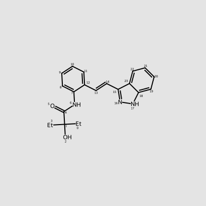 CCC(O)(CC)C(=O)Nc1ccccc1C=Cc1n[nH]c2ccccc12